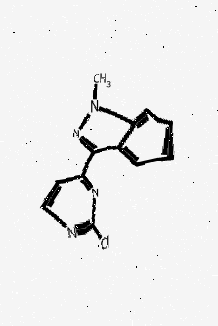 Cn1nc(-c2ccnc(Cl)n2)c2ccccc21